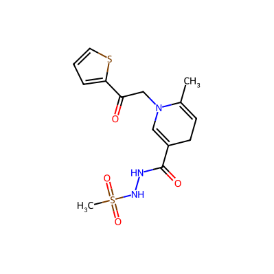 CC1=CCC(C(=O)NNS(C)(=O)=O)=CN1CC(=O)c1cccs1